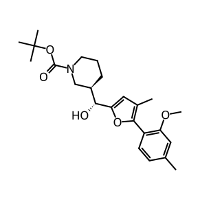 COc1cc(C)ccc1-c1oc([C@H](O)[C@@H]2CCCN(C(=O)OC(C)(C)C)C2)cc1C